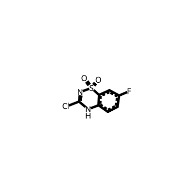 O=S1(=O)N=C(Cl)Nc2ccc(F)cc21